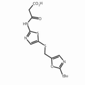 CC(C)(C)c1ncc(CSc2cnc(NC(=O)CC(=O)O)s2)o1